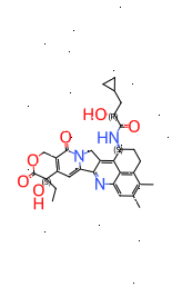 CC[C@@]1(O)C(=O)OCc2c1cc1n(c2=O)Cc2c-1nc1cc(C)c(C)c3c1c2[C@@H](NC(=O)[C@H](O)CC1CC1)CC3